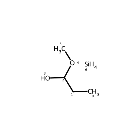 CCC(O)OC.[SiH4]